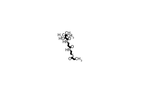 CCC(=O)SCCNC(=O)CCNC(=O)[C@H](O)C(C)(C)C